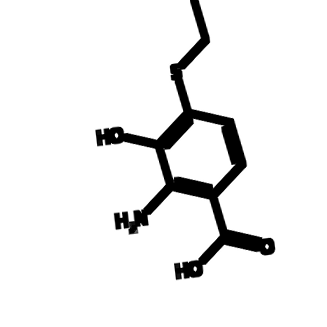 CCSc1ccc(C(=O)O)c(N)c1O